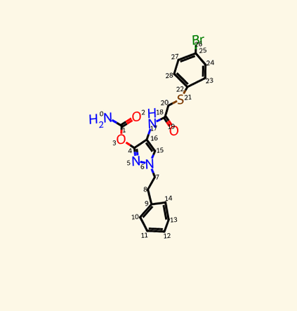 NC(=O)Oc1nn(CCc2ccccc2)cc1NC(=O)CSc1ccc(Br)cc1